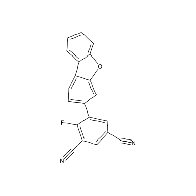 N#Cc1cc(C#N)c(F)c(-c2ccc3c(c2)oc2ccccc23)c1